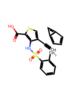 C#Cc1csc(C(=O)O)c1NS(=O)(=O)c1ccccc1C.c1cc2cc-2c1